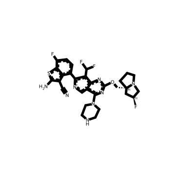 N#Cc1c(N)sc2c(F)ccc(-c3ncc4c(N5CCNCC5)nc(OC[C@]56CCCN5C[C@@H](F)C6)nc4c3C(F)F)c12